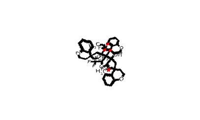 CCCC1(C(C(O)C(F)(F)F)(C(O)(CC2(CC)CCOc3ccccc32)C(F)(F)F)C(O)(CC2(SC)CCOc3ccccc32)C(F)(F)F)CCOc2ccccc21